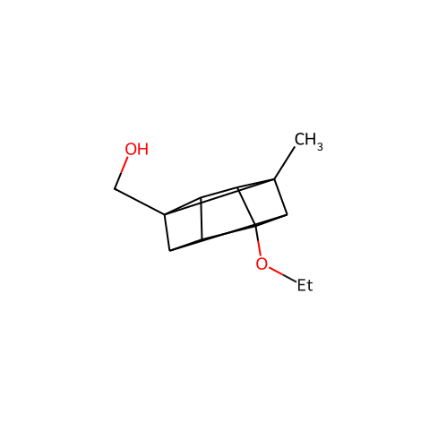 CCOC12C3C4C1C1(C)C2C3C41CO